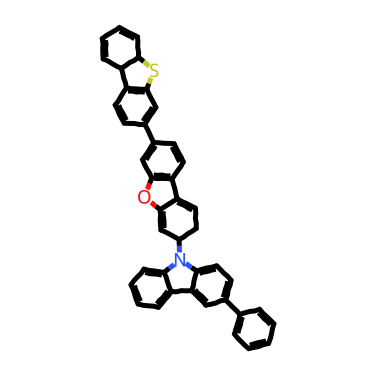 C1=CC2Sc3cc(-c4ccc5c6c(oc5c4)=CC(n4c5ccccc5c5cc(-c7ccccc7)ccc54)CC=6)ccc3C2C=C1